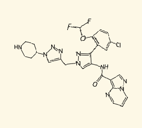 O=C(Nc1cn(Cc2cn(C3CCNCC3)nn2)nc1-c1cc(Cl)ccc1OC(F)F)c1cnn2cccnc12